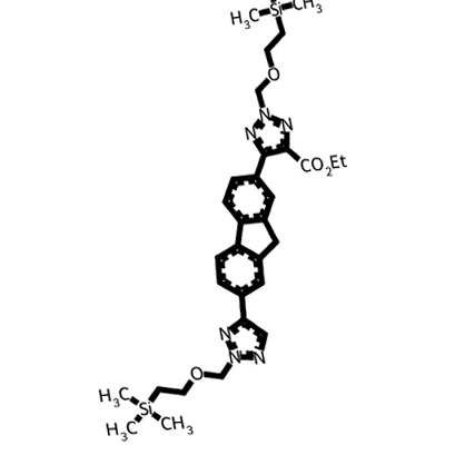 CCOC(=O)c1nn(COCC[Si](C)(C)C)nc1-c1ccc2c(c1)Cc1cc(-c3cnn(COCC[Si](C)(C)C)n3)ccc1-2